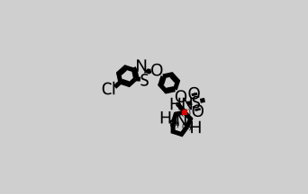 CS(=O)(=O)N[C@@H]1C[C@H]2CC[C@@H](C1)N2CCOc1ccc(Oc2nc3ccc(Cl)cc3s2)cc1